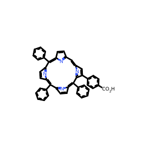 O=C(O)c1ccc(C2=CC3=CC4=NC(=C(c5ccccc5)C5=NC(=C(c6ccccc6)C6=NC(=C(c7ccccc7)C2=N3)C=C6)C=C5)C=C4)cc1